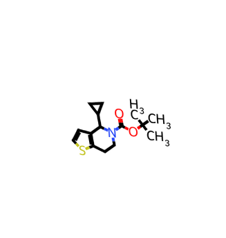 CC(C)(C)OC(=O)N1CCc2sccc2C1C1CC1